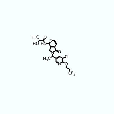 CC(c1cnc(OCCC(F)(F)F)c(Cl)c1)N1Cc2c(ccnc2NC(=O)[C@@H](C)O)C1=O